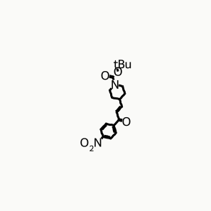 CC(C)(C)OC(=O)N1CCC(/C=C/C(=O)c2ccc([N+](=O)[O-])cc2)CC1